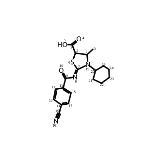 CC1C(C(=O)O)SC(=NC(=O)c2ccc(C#N)cc2)N1C1CCCCC1